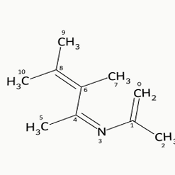 C=C(C)/N=C(/C)C(C)=C(C)C